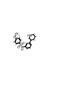 O=S(=O)(Nc1cccc(C2CCCNC2)c1)c1ccc(OC(F)(F)F)cc1